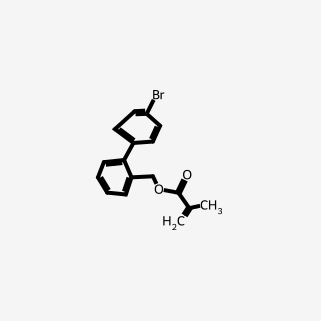 C=C(C)C(=O)OCc1ccccc1-c1ccc(Br)cc1